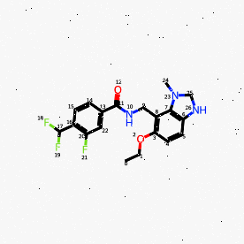 CCOc1ccc2c(c1CNC(=O)c1ccc(C(F)F)c(F)c1)N(C)CN2